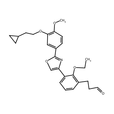 CCOc1c(CCC=O)cccc1-c1coc(-c2ccc(OC)c(OCCC3CC3)c2)n1